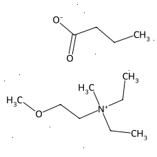 CCCC(=O)[O-].CC[N+](C)(CC)CCOC